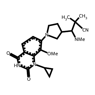 CNC(C1CCN(c2ccc3c(=O)[nH]c(=O)n(C4CC4)c3c2OC)C1)C(C)(C)C#N